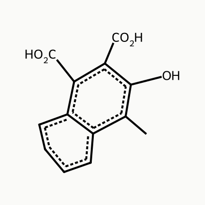 Cc1c(O)c(C(=O)O)c(C(=O)O)c2ccccc12